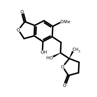 COc1cc2c(c(O)c1C[C@H](O)[C@]1(C)CCC(=O)O1)COC2=O